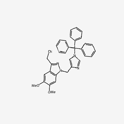 COc1cc2c(CC#N)nn(Cc3cn(C(c4ccccc4)(c4ccccc4)c4ccccc4)cn3)c2cc1OC